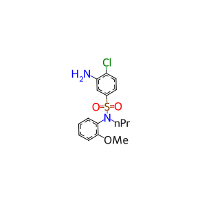 CCCN(c1ccccc1OC)S(=O)(=O)c1ccc(Cl)c(N)c1